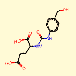 O=C(O)CCC(NC(=O)Nc1ccc(CO)cc1)C(=O)O